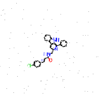 O=C(/C=C/c1ccc(Cl)cc1)NCc1cc2c([nH]c3ccccc32)c(-c2ccccc2)n1